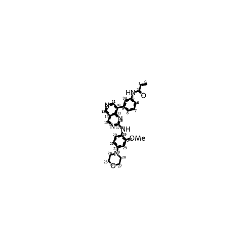 C=CC(=O)Nc1cccc(-c2cncc3cnc(Nc4ccc(N5CCOCC5)cc4OC)nc23)c1